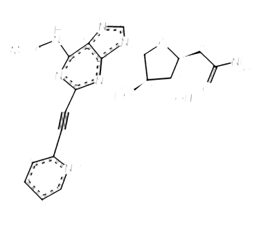 CONc1nc(C#Cc2ccccn2)nc2c1ncn2[C@@H]1O[C@@H](CC(N)=O)[C@H](O)[C@H]1O